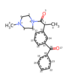 CC(C(=O)N1CCN(C)CC1)c1cccc(C(=O)c2ccccc2)c1